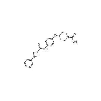 O=C(Nc1ccc(OC2CCN(C(=O)O)CC2)cc1)C1CN(c2cccnc2)C1